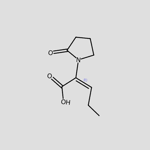 CC/C=C(\C(=O)O)N1CCCC1=O